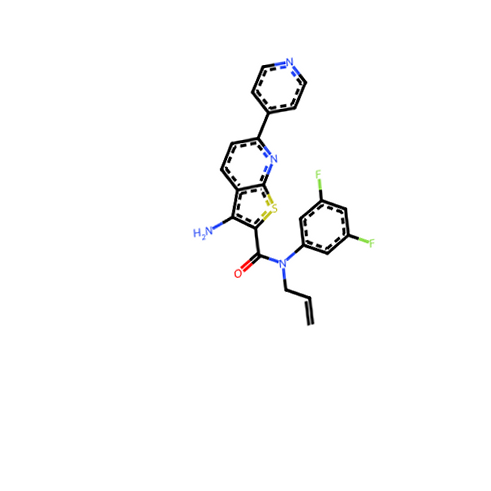 C=CCN(C(=O)c1sc2nc(-c3ccncc3)ccc2c1N)c1cc(F)cc(F)c1